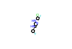 Fc1cccc(-c2cc3cnc(Nc4ccc(F)c(Cl)c4)cc3[nH]2)c1